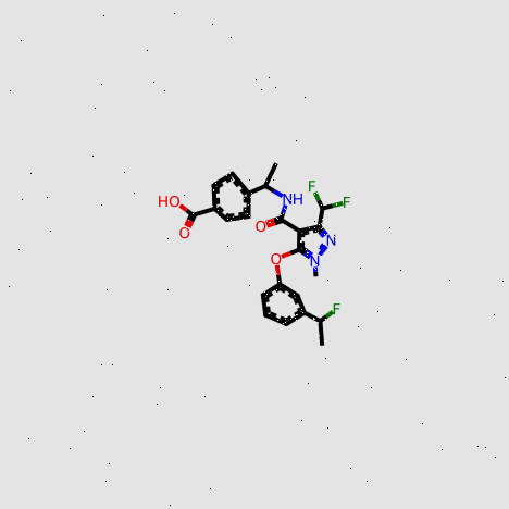 CC(F)c1cccc(Oc2c(C(=O)NC(C)c3ccc(C(=O)O)cc3)c(C(F)F)nn2C)c1